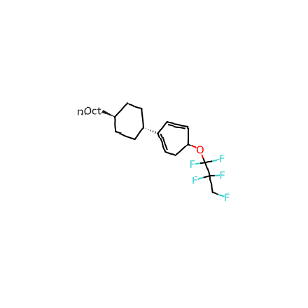 CCCCCCCC[C@H]1CC[C@H](C2=CCC(OC(F)(F)C(F)(F)CF)C=C2)CC1